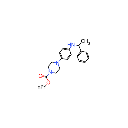 CCCOC(=O)N1CCN(c2ccc(NC(C)c3ccccc3)cc2)CC1